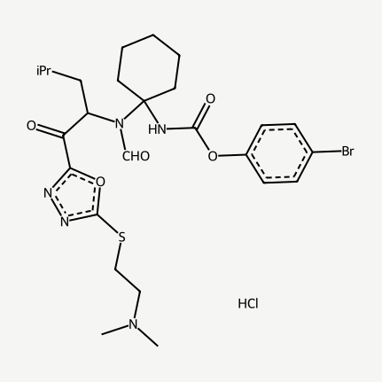 CC(C)CC(C(=O)c1nnc(SCCN(C)C)o1)N(C=O)C1(NC(=O)Oc2ccc(Br)cc2)CCCCC1.Cl